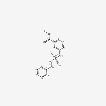 COC(=O)c1cccc(NS(=O)(=O)/C=C/c2ccccc2)c1